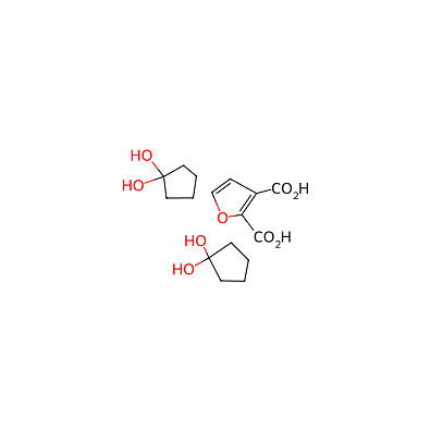 O=C(O)c1ccoc1C(=O)O.OC1(O)CCCC1.OC1(O)CCCC1